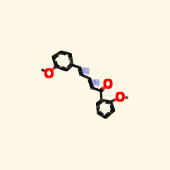 COc1cccc(/C=C/C=C/C(=O)c2ccccc2OC)c1